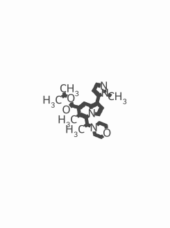 Cc1c(C(=O)OC(C)C)cc2c(-c3ccnn3C)ccn2c1C(C)N1CCOCC1